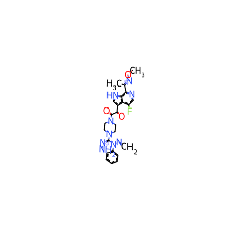 C=NN(/C(=N\N)N1CCN(C(=O)C(=O)c2c[nH]c3c(/C(C)=N/OC)ncc(F)c23)CC1)c1ccccc1